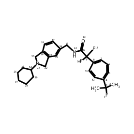 CC(C)(F)C1=C=CC=C(C(F)(F)C(=O)NCc2ccc3c(c2)CN(C2CCCCC2)C3)C=C1